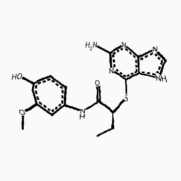 CC[C@H](Sc1nc(N)nc2nc[nH]c12)C(=O)Nc1ccc(O)c(OC)c1